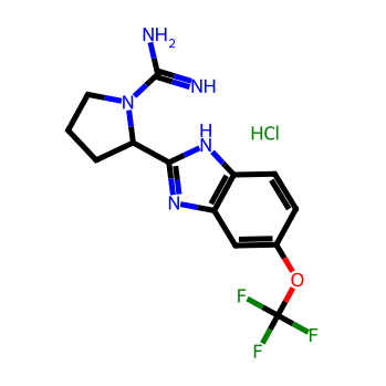 Cl.N=C(N)N1CCCC1c1nc2cc(OC(F)(F)F)ccc2[nH]1